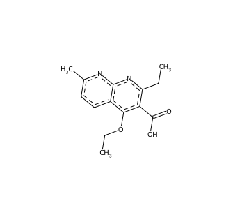 CCOc1c(C(=O)O)c(CC)nc2nc(C)ccc12